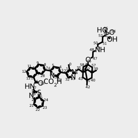 Cc1c(-c2ccc(-c3ccc4cccc(C(=O)Nc5nc6ccccc6s5)c4c3)nc2C(=O)O)cnn1CC12CC3(C)CC(C)(C1)CC(OCCNCCCP(=O)(O)O)(C3)C2